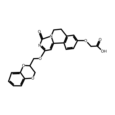 O=C(O)COc1ccc2c(c1)CCn1c-2cc(OCC2COc3ccccc3O2)nc1=O